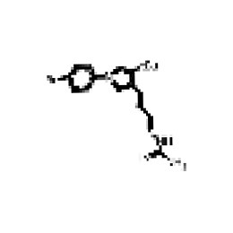 CC(C)(C)c1cn(-c2ccc(Br)cc2)cc1/C=C/C=N/NC(=N)N